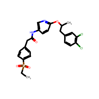 CCS(=O)(=O)c1ccc(CC(=O)Nc2ccc(OC(C)Cc3ccc(Cl)c(Cl)c3)nc2)cc1